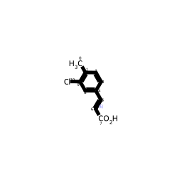 Cc1ccc(/C=C/C(=O)O)cc1Cl